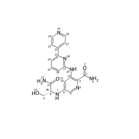 NC(=O)c1ncc(N[C@H](CO)C(N)=O)cc1Nc1cccc(-c2ccncc2)n1